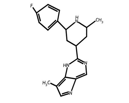 Cc1cnc2cnc(C3CC(C)NC(c4ccc(F)cc4)C3)[nH]c1-2